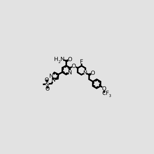 CS(=O)(=O)Cn1cc(-c2cnc(OC3CCN(C(=O)Cc4ccc(OC(F)(F)F)cc4)CC3F)c(C(N)=O)c2)cn1